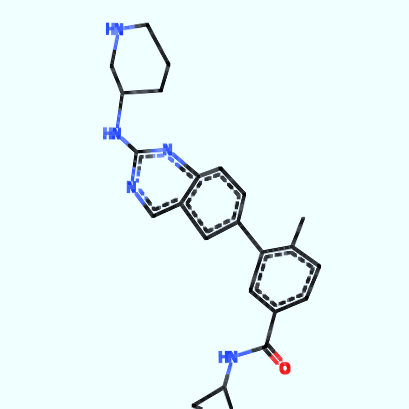 Cc1ccc(C(=O)NC2CC2)cc1-c1ccc2nc(NC3CCCNC3)ncc2c1